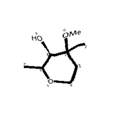 COC1(C)CCOC(C)[C@H]1O